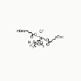 CCCCCCCCCCCCCC(=O)OCCN(CCOC(=O)CCCCCCCCCCCCC)C(=O)C[N+](C)(C)C.[Cl-]